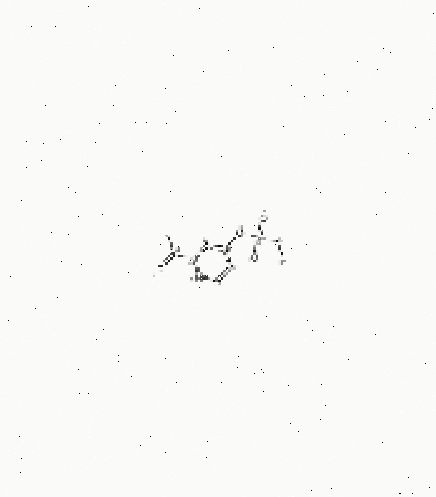 CCS(=O)(=O)Oc1ccnc(C(C)=O)c1